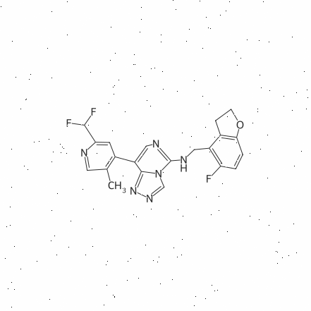 Cc1cnc(C(F)F)cc1-c1cnc(NCc2c(F)ccc3c2CCO3)n2cnnc12